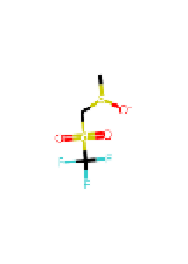 C[S+]([O-])CS(=O)(=O)C(F)(F)F